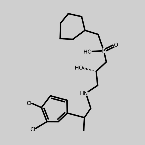 CC(CNC[C@H](O)CP(=O)(O)CC1CCCCC1)c1ccc(Cl)c(Cl)c1